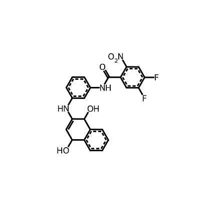 O=C(Nc1cccc(NC2=CC(O)c3ccccc3C2O)c1)c1cc(F)c(F)cc1[N+](=O)[O-]